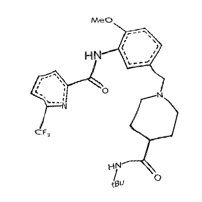 COc1ccc(CN2CCC(C(=O)NC(C)(C)C)CC2)cc1NC(=O)c1cccc(C(F)(F)F)n1